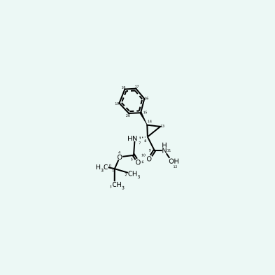 CC(C)(C)OC(=O)N[C@@]1(C(=O)NO)C[C@@H]1c1ccccc1